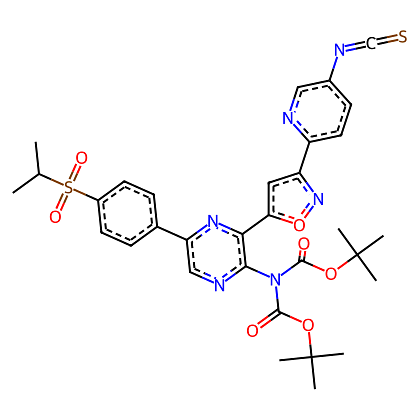 CC(C)S(=O)(=O)c1ccc(-c2cnc(N(C(=O)OC(C)(C)C)C(=O)OC(C)(C)C)c(-c3cc(-c4ccc(N=C=S)cn4)no3)n2)cc1